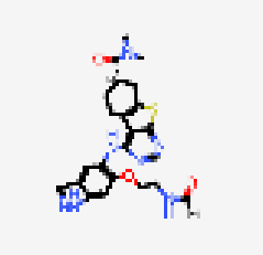 CCC(=O)NCCOc1cc2[nH]ncc2cc1Nc1ncnc2sc3c(c12)CC[C@H](C(=O)N(C)C)C3